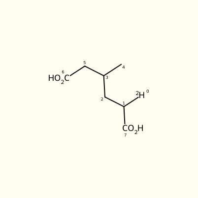 [2H]C(CC(C)CC(=O)O)C(=O)O